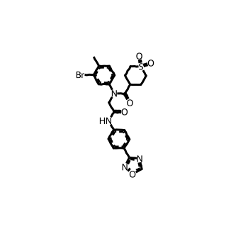 Cc1ccc(N(CC(=O)Nc2ccc(-c3ncon3)cc2)C(=O)C2CCS(=O)(=O)CC2)cc1Br